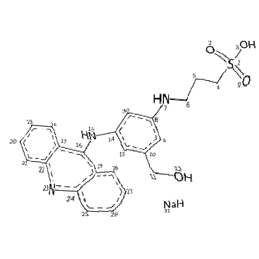 O=S(=O)(O)CCCNc1cc(CO)cc(Nc2c3ccccc3nc3ccccc23)c1.[NaH]